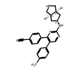 Cc1ccc(-c2cnc(N[C@H]3C[C@H]4CNC[C@H]4C3)nc2-c2ccc(C#N)cc2)cc1